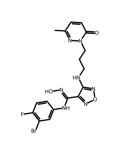 Cc1ccc(=O)n(CCCNc2nonc2C(=NO)Nc2ccc(F)c(Br)c2)n1